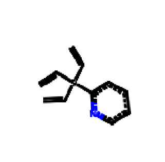 C=C[Si](C=C)(C=C)c1ccccn1